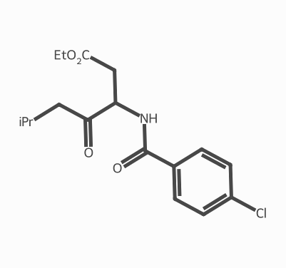 CCOC(=O)CC(NC(=O)c1ccc(Cl)cc1)C(=O)CC(C)C